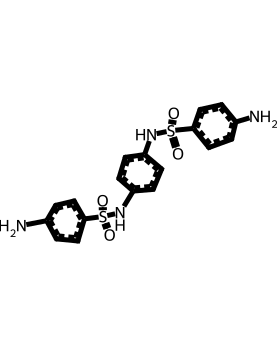 Nc1ccc(S(=O)(=O)Nc2ccc(NS(=O)(=O)c3ccc(N)cc3)cc2)cc1